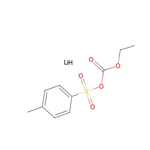 CCOC(=O)OS(=O)(=O)c1ccc(C)cc1.[LiH]